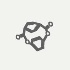 O=C1Oc2ccc(cc2)OC(=O)c2ccc1cc2